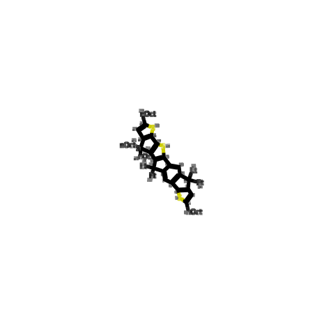 CCCCCCCCc1cc2c(s1)-c1cc3c(cc1C2(CC)CC)-c1sc2c(c1C3(CC)CC)[Si](CCCCCCCC)(CCCCCCCC)c1cc(CCCCCCCC)sc1-2